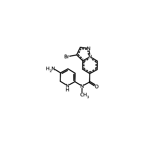 CN(C(=O)c1ccn2ncc(Br)c2c1)C1=CC=C(N)CN1